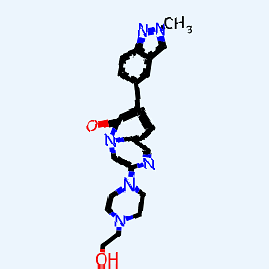 Cn1cc2cc(C3=C\C(=O)N4C=C(N5CCN(CCO)CC5)N=C\C4=C/C=C/3)ccc2n1